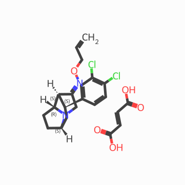 C=CCON=C1CN2[C@H]3CC[C@@H]2[C@@H]1[C@@H](c1ccc(Cl)c(Cl)c1)C3.O=C(O)C=CC(=O)O